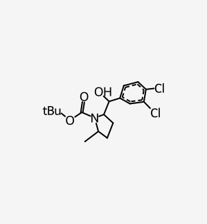 CC1CCC(C(O)c2ccc(Cl)c(Cl)c2)N1C(=O)OC(C)(C)C